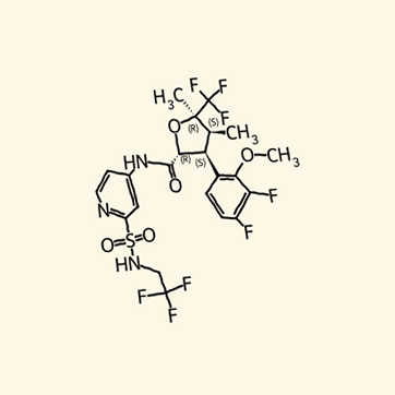 COc1c([C@H]2[C@H](C(=O)Nc3ccnc(S(=O)(=O)NCC(F)(F)F)c3)O[C@@](C)(C(F)(F)F)[C@H]2C)ccc(F)c1F